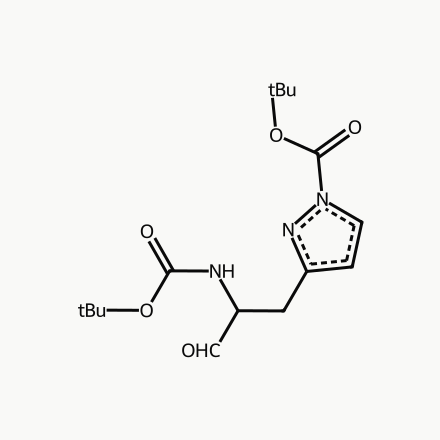 CC(C)(C)OC(=O)NC(C=O)Cc1ccn(C(=O)OC(C)(C)C)n1